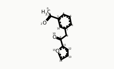 CC(=O)c1cccc(CC(=O)c2ccco2)c1